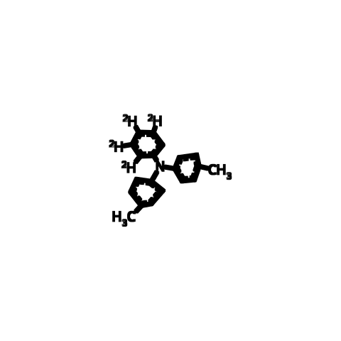 [2H]c1cc(N(c2ccc(C)cc2)c2ccc(C)cc2)c([2H])c([2H])c1[2H]